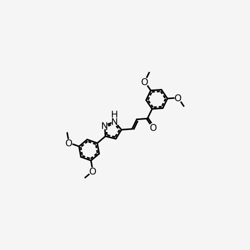 COc1cc(OC)cc(C(=O)C=Cc2cc(-c3cc(OC)cc(OC)c3)n[nH]2)c1